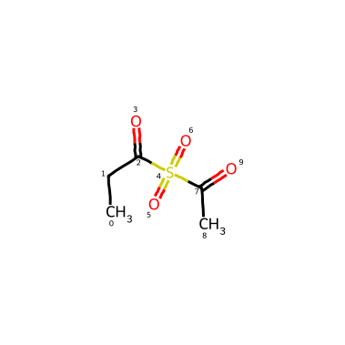 CCC(=O)S(=O)(=O)C(C)=O